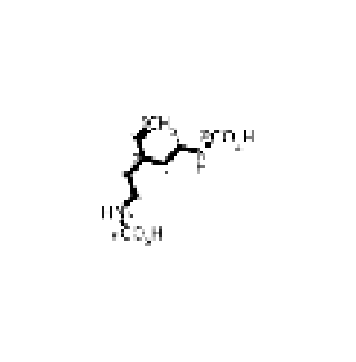 C=CC(CCNC(=O)O)CCNC(=O)O